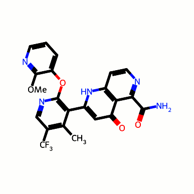 COc1ncccc1Oc1ncc(C(F)(F)F)c(C)c1-c1cc(=O)c2c(C(N)=O)nccc2[nH]1